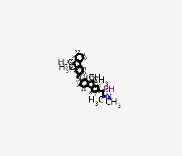 C/N=C(\C)C(=P)c1ccc2c(c1)C(C)(C)c1cc(Sc3ccc4c(c3)C(C)(C)C3=C4C=CCC3)ccc1-2